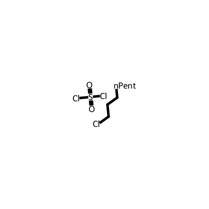 CCCCCCCCCl.O=S(=O)(Cl)Cl